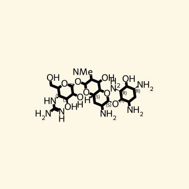 CNC1C(O[C@H]2OC(CO)[C@@H](NC(=N)N)[C@H](O)C2O)O[C@H]2CC(N)[C@@H](O[C@@H]3C(N)C[C@@H](N)C(O)[C@H]3N)OC2C1O